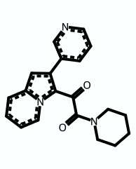 O=C(C(=O)N1CCCCC1)c1c(-c2cccnc2)cc2ccccn12